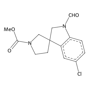 COC(=O)N1CCC2(C1)CN(C=O)c1ccc(Cl)cc12